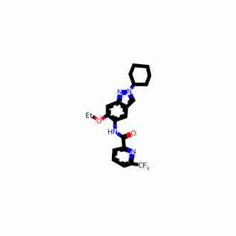 CCOc1cc2nn(C3CCCCC3)cc2cc1NC(=O)c1cccc(C(F)(F)F)n1